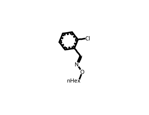 CCCCCCO/N=[C]/c1ccccc1Cl